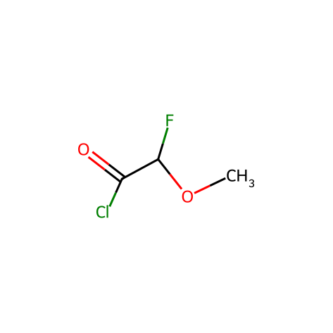 COC(F)C(=O)Cl